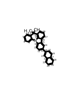 CC1(C)c2ccccc2-n2c3ccc(-c4ccc5ccccc5c4)cc3c3cccc1c32